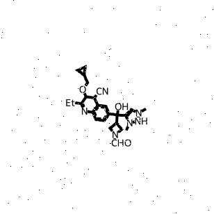 CCC1=Nc2ccc(C(O)(C3=CN(C)NN3C)C3CN(C=O)C3)cc2C(C#N)C1OCC1CC1